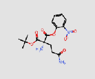 CC(C)(C)OC(=O)[C@](N)(CCC(N)=O)C(=O)Oc1ccccc1[N+](=O)[O-]